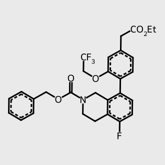 CCOC(=O)Cc1ccc(-c2ccc(F)c3c2CN(C(=O)OCc2ccccc2)CC3)c(OCC(F)(F)F)c1